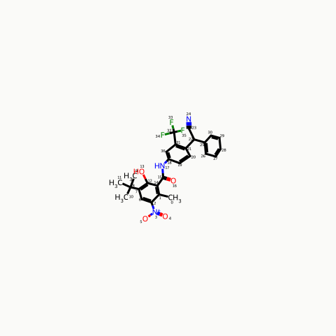 Cc1c([N+](=O)[O-])cc(C(C)(C)C)c(O)c1C(=O)Nc1ccc(C(C#N)c2ccccc2)c(C(F)(F)F)c1